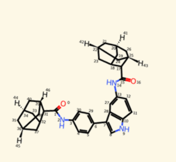 O=C(Nc1ccc(-c2c[nH]c3ccc(NC(=O)C4C5C[C@H]6C[C@@H](C5)C[C@@H]4C6)cc23)cc1)C1C2C[C@H]3C[C@@H](C2)C[C@@H]1C3